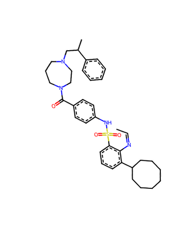 C/C=N\c1c(C2CCCCCCC2)cccc1S(=O)(=O)Nc1ccc(C(=O)N2CCCN(CC(C)c3ccccc3)CC2)cc1